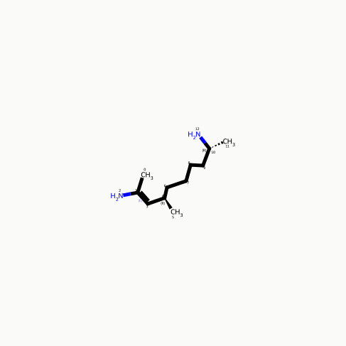 C/C(N)=C\[C@H](C)CCCC[C@@H](C)N